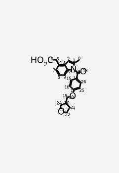 Cc1cc2c(CC(=O)O)cccc2n1C(=O)c1ccc(OCC2CCOC2)cc1